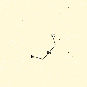 CC[CH2][Be][CH2]CC